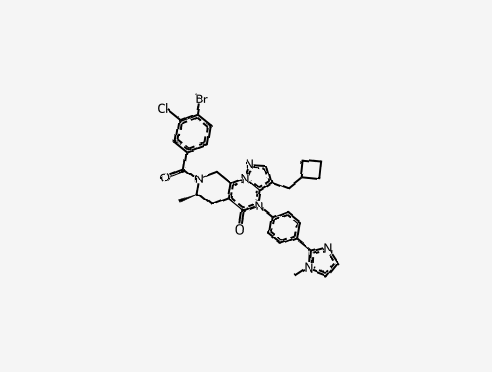 C[C@@H]1Cc2c(n3ncc(CC4CCC4)c3n(-c3ccc(-c4nccn4C)cc3)c2=O)CN1C(=O)c1ccc(Br)c(Cl)c1